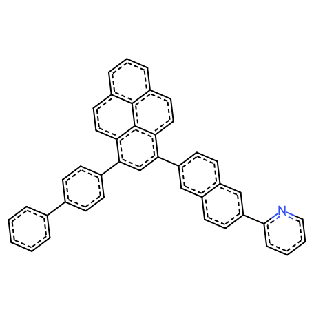 c1ccc(-c2ccc(-c3cc(-c4ccc5cc(-c6ccccn6)ccc5c4)c4ccc5cccc6ccc3c4c65)cc2)cc1